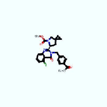 COC(=O)c1ccc(Cn2c([C@@H]3CC4(CC4)CN3C(=O)OC(C)(C)C)nc3cccc(F)c3c2=O)cc1